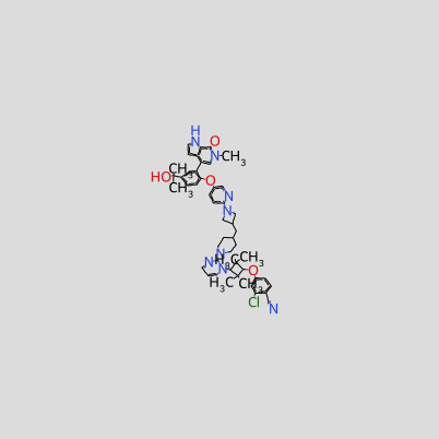 Cn1cc(-c2cc(C(C)(C)O)ccc2Oc2ccc(N3CC(CC4CCN(C5N=CC=CN5C5C(C)(C)C(Oc6ccc(C#N)c(Cl)c6)C5(C)C)CC4)C3)nc2)c2cc[nH]c2c1=O